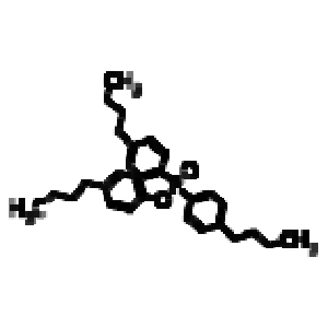 CCCCc1ccc(OP(=O)(c2ccc(CCCC)cc2)c2ccc(CCCC)cc2)cc1